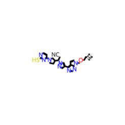 C[Si](C)(C)CCOCn1ccc2c(-c3cnn(C(CC#N)C4CCN(c5ccnc(S)n5)C4)c3)ncnc21